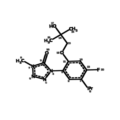 CC(C)c1cc(-n2nnn(C)c2=O)c(OCC(C)(C)O)cc1F